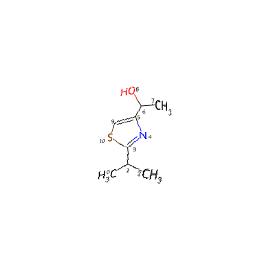 CC(C)c1nc(C(C)O)cs1